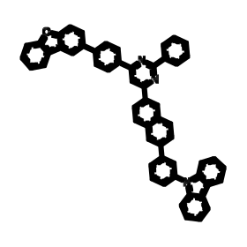 c1ccc(-c2nc(-c3ccc(-c4ccc5oc6ccccc6c5c4)cc3)cc(-c3ccc4cc(-c5cccc(-n6c7ccccc7c7ccccc76)c5)ccc4c3)n2)cc1